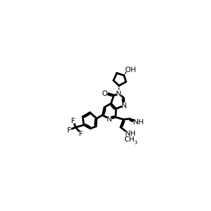 CN/C=C(\C=N)c1nc(-c2ccc(C(F)(F)F)cc2)cc2c(=O)n([C@@H]3CC[C@H](O)C3)cnc12